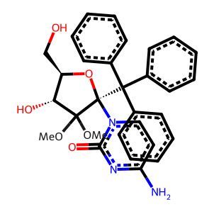 COC1(OC)[C@H](O)[C@@H](CO)O[C@]1(n1ccc(N)nc1=O)C(c1ccccc1)(c1ccccc1)c1ccccc1